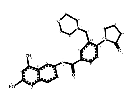 Cc1cc(O)nc2ccc(NC(=O)c3ccc(N4CCCC4=O)c(CN4CCOCC4)c3)cc12